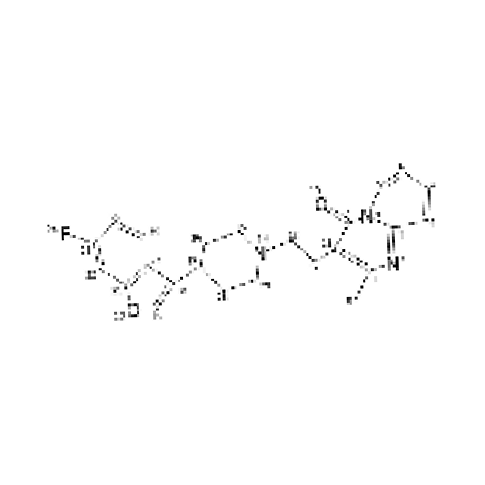 Cc1nc2ccccn2c(=O)c1CCN1CCC(c2coc3cc(F)ccc23)CC1